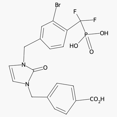 O=C(O)c1ccc(Cn2ccn(Cc3ccc(C(F)(F)P(=O)(O)O)c(Br)c3)c2=O)cc1